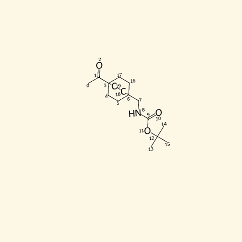 CC(=O)C12CCC(CNC(=O)OC(C)(C)C)(CC1)CC2